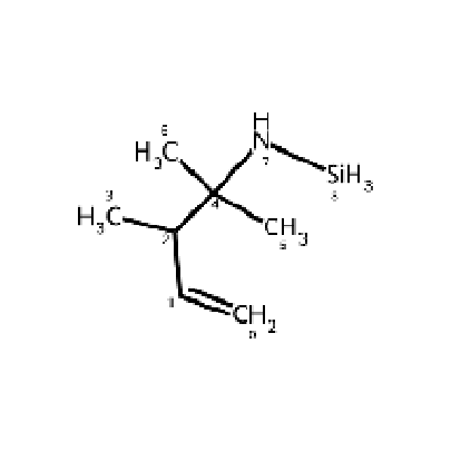 C=CC(C)C(C)(C)N[SiH3]